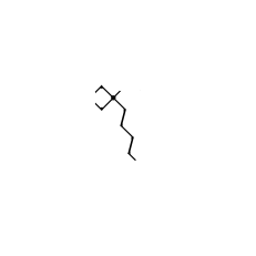 CCOC(=O)CCCCC1(C)COC1